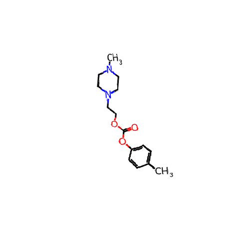 Cc1ccc(OC(=O)OCCN2CCN(C)CC2)cc1